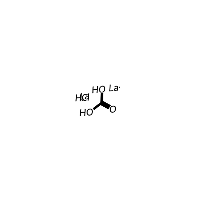 Cl.O=C(O)O.[La].[La]